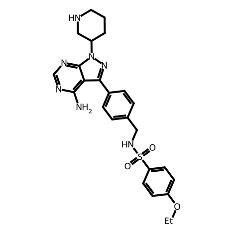 CCOc1ccc(S(=O)(=O)NCc2ccc(-c3nn(C4CCCNC4)c4ncnc(N)c34)cc2)cc1